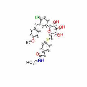 CCOc1ccc(Cc2cc([C@@H]3O[C@H](CSc4ccc(CC(=O)NC(=O)O)cc4)[C@@H](O)[C@H](O)[C@H]3O)ccc2Cl)cc1